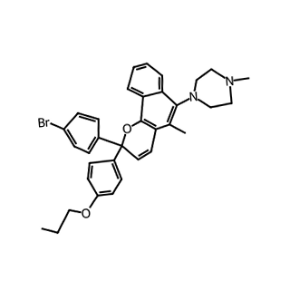 CCCOc1ccc(C2(c3ccc(Br)cc3)C=Cc3c(C)c(N4CCN(C)CC4)c4ccccc4c3O2)cc1